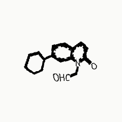 O=CCn1c(=O)ccc2ccc(C3CCCCC3)cc21